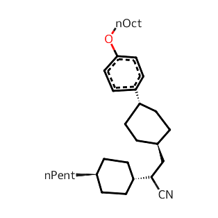 CCCCCCCCOc1ccc([C@H]2CC[C@H](CC(C#N)[C@H]3CC[C@H](CCCCC)CC3)CC2)cc1